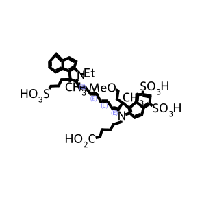 CCN1c2ccc3ccccc3c2C(C)(CCCS(=O)(=O)O)C1/C=C/C=C/C=C/C=C1/N(CCCCCC(=O)O)c2ccc3c(S(=O)(=O)O)cc(S(=O)(=O)O)cc3c2C1(C)CCOC